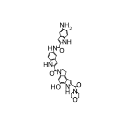 Nc1ccc2[nH]c(C(=O)Nc3ccc4[nH]c(C(=O)N5CCc6c5cc(O)c5[nH]c(C(=O)N7CCOCC7)cc65)cc4c3)cc2c1